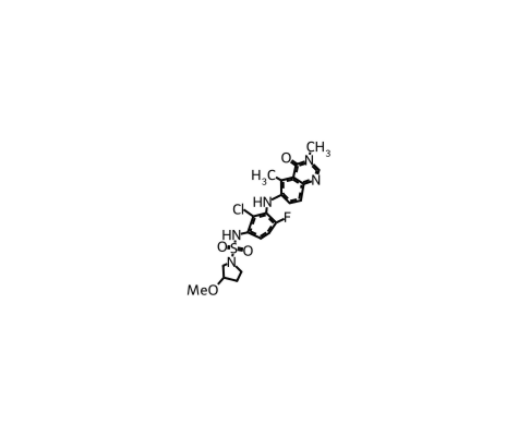 COC1CCN(S(=O)(=O)Nc2ccc(F)c(Nc3ccc4ncn(C)c(=O)c4c3C)c2Cl)C1